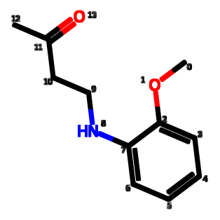 COc1ccccc1NCCC(C)=O